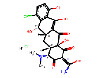 CN(C)[C@@H]1C(=O)/C(=C(\N)O)C(=O)[C@@]2(O)C(=O)C3=C(O)c4c(O)ccc(Cl)c4[C@@H](O)[C@H]3C[C@@H]12.[Cl-].[H+]